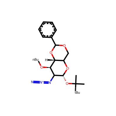 CCCCO[C@@H]1C(N=[N+]=[N-])[C@@H](OC(C)(C)C(C)(C)C)OC2COC(c3ccccc3)O[C@H]21